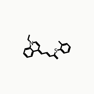 C=C(C=CC=C1C=CN(CC)c2ccccc21)Sc1ccccc1C